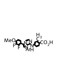 COc1ccc(-c2cnc3c(Nc4ccc(C(=O)O)c(C)c4)nccn23)c(F)c1F.[Ar]